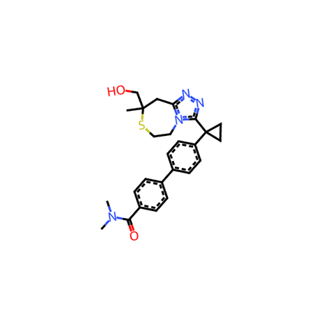 CN(C)C(=O)c1ccc(-c2ccc(C3(c4nnc5n4CCSC(C)(CO)C5)CC3)cc2)cc1